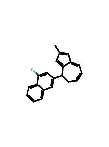 CC1=CC2=CC=CCC(c3cc(F)c4ccccc4c3)C2=C1